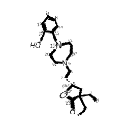 CCC1(CC)C[C@@H](CCN2CCN(c3ccccc3O)CC2)OC1=O